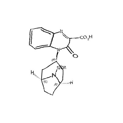 CCCCCCCCCN1[C@@H]2CC[C@H]1C[C@@H](n1c(=O)c(C(=O)O)nc3ccccc31)C2